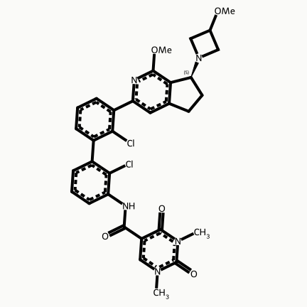 COc1nc(-c2cccc(-c3cccc(NC(=O)c4cn(C)c(=O)n(C)c4=O)c3Cl)c2Cl)cc2c1[C@@H](N1CC(OC)C1)CC2